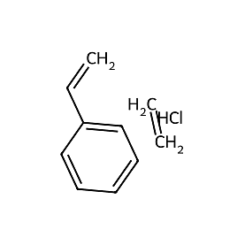 C=C.C=Cc1ccccc1.Cl